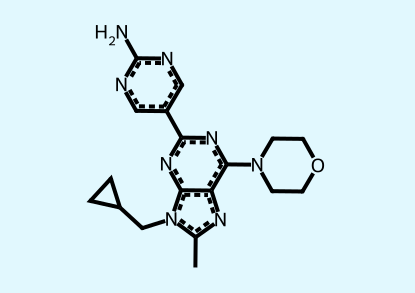 Cc1nc2c(N3CCOCC3)nc(-c3cnc(N)nc3)nc2n1CC1CC1